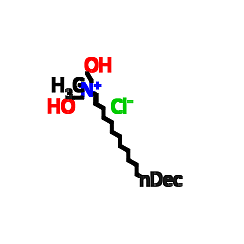 CCCCCCCCCCCCCCCCCCCCC=C[N+](C)(CCO)CCO.[Cl-]